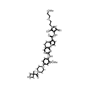 CCc1nn(CCOCCOC)c(CC)c1NC(=O)c1ccn2c1CCc1cnc(Nc3ccc(N4CCN(C(=O)C5(C)CNC5)CC4)cc3OC)nc1-2